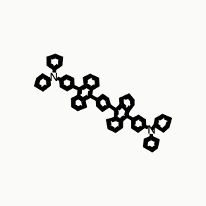 c1ccc(N(c2ccccc2)c2ccc(-c3c4ccccc4c(-c4ccc(-c5c6ccccc6c(-c6ccc(N(c7ccccc7)c7ccccc7)cc6)c6ccccc56)cc4)c4ccccc34)cc2)cc1